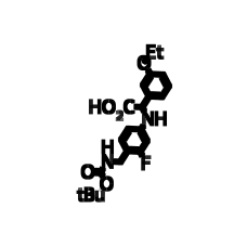 CCOc1cccc(C(Nc2ccc(CNC(=O)OC(C)(C)C)c(F)c2)C(=O)O)c1